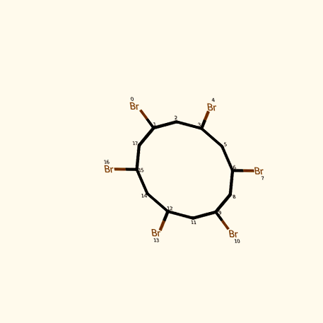 BrC1CC(Br)CC(Br)CC(Br)CC(Br)CC(Br)C1